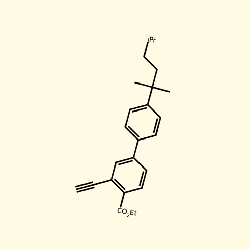 C#Cc1cc(-c2ccc(C(C)(C)CCC(C)C)cc2)ccc1C(=O)OCC